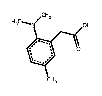 Cc1ccc(N(C)C)c(CC(=O)O)c1